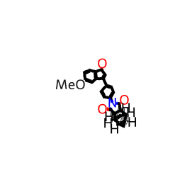 COc1ccc2c(c1)C(c1ccc(N3C(=O)[C@@H]4[C@@H]5C=C[C@@H]([C@H]6C[C@@H]56)[C@@H]4C3=O)cc1)=CC2=O